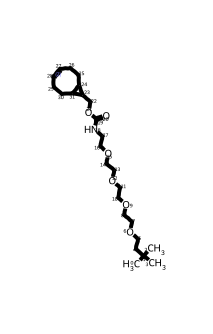 CC(C)(C)CCOCCOCCOCCOCCNC(=O)OCC1C2CC/C=C\CCC21